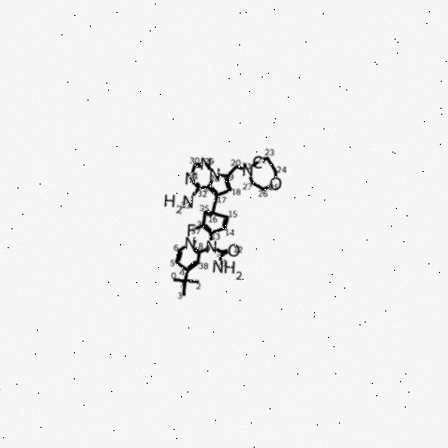 CC(C)(C)c1ccnc(N(C(N)=O)c2ccc(-c3cc(CN4CCCOCC4)n4ncnc(N)c34)cc2F)c1